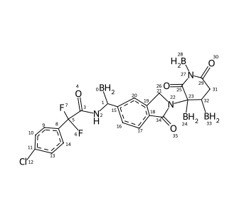 BC(NC(=O)C(F)(F)c1ccc(Cl)cc1)c1ccc2c(c1)CN(C1(B)C(=O)N(B)C(=O)CC1B)C2=O